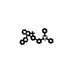 CC1(C)C2=CC3C=CC=CC3C(C3C=c4ccccc4=CC3)=C2c2ccc(-c3cccc(-c4nc(-c5ccccc5)nc(-c5ccccc5)n4)c3)cc21